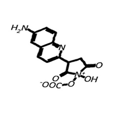 Nc1ccc2nc(C3CC(=O)[N+](O)(OC(=O)[O-])C3=O)ccc2c1